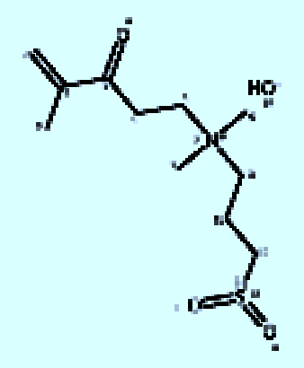 C=C(C)C(=O)CC[N+](C)(C)CCC[SH](=O)=O.[OH-]